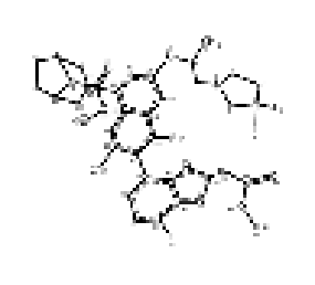 CC(CN1CCC(F)(F)C1)Oc1nc(N2CC3CCC(C2)N3C(=O)OC(C)(C)C)c2cc(Cl)c(-c3ccc(F)c4sc(NC(=O)OC(C)(C)C)nc34)c(F)c2n1